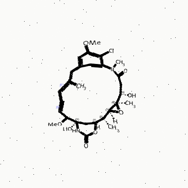 COc1cc2cc(c1Cl)N(C)C(=O)C[C@H](O)[C@@]1(C)O[C@H]1[C@H](C)[C@@H]1C[C@@](O)(NC(=O)O1)C(OC)/C=C/C=C(\C)C2